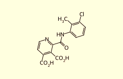 Cc1c(Cl)cccc1NC(=O)c1nccc(C(=O)O)c1C(=O)O